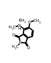 COc1ccc2c(c1[SiH](C)C)C(=O)N(C)C2=O